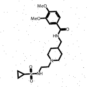 COc1ccc(C(=O)NCC2CCN(CCNS(=O)(=O)C3CC3)CC2)cc1OC